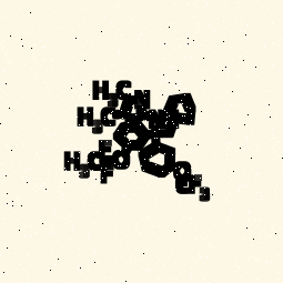 Cc1nc(NC(Cc2ccccc2)(c2cccc(OC(C)(F)F)c2)c2cccc(OC(F)(F)F)c2)sc1C